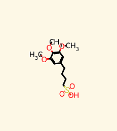 COc1cc(CCCCS(=O)(=O)O)cc(OC)c1OC